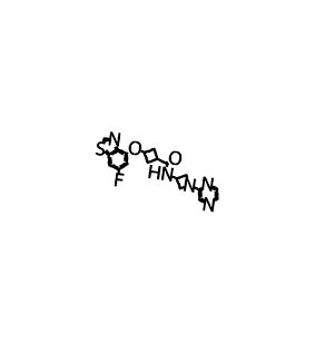 O=C(NC1CN(c2cnccn2)C1)C1CC(Oc2cc(F)cc3scnc23)C1